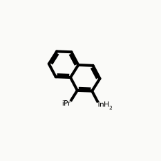 CC(C)c1[c]([InH2])ccc2ccccc12